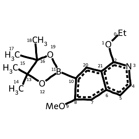 CCOc1nccc2cc(OC)c(B3OC(C)(C)C(C)(C)O3)cc12